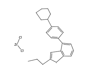 CCCC1=Cc2c(cccc2-c2ccc(C3CCCCC3)cc2)[CH]1.[Cl][Zr][Cl]